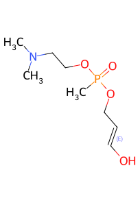 CN(C)CCOP(C)(=O)OC/C=C/O